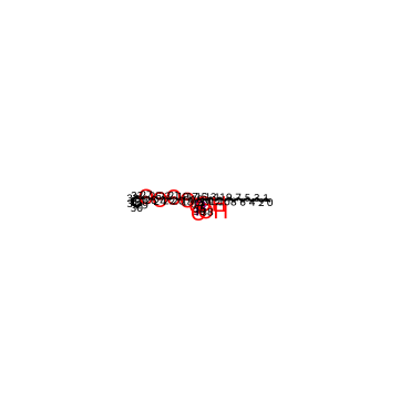 CCCCCCCCCCCCCCCCC(COCCOCCOCCOc1ccccc1)OP(=O)(O)O